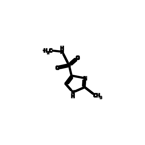 [CH2]NS(=O)(=O)c1c[nH]c(C)n1